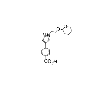 O=C(O)c1ccc(-c2cnn(CCOC3CCCCO3)c2)cc1